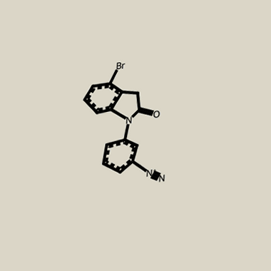 N#[N+]c1cccc(N2C(=O)Cc3c(Br)cccc32)c1